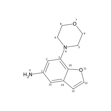 Nc1cc(N2CCOCC2)c2occc2c1